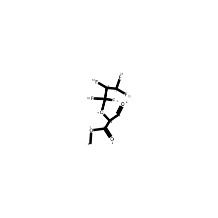 COC(=O)C(C=O)OC(F)(F)C(F)C(F)F